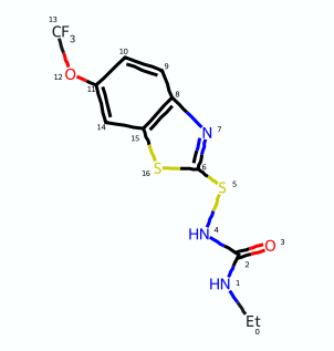 CCNC(=O)NSc1nc2ccc(OC(F)(F)F)cc2s1